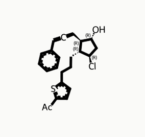 CC(=O)c1ccc(CCC[C@@H]2[C@@H](C=C=Cc3ccccc3)[C@H](O)C[C@H]2Cl)s1